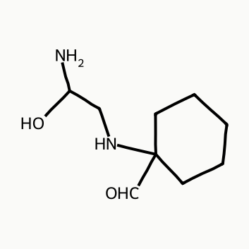 NC(O)CNC1(C=O)CCCCC1